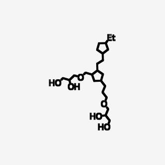 CCC1CCC(CCC2CC(CCCOCC(O)CO)CC2COCC(O)CO)C1